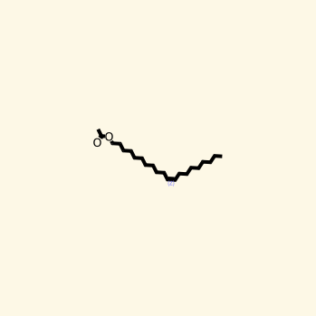 CCCCCCCC/C=C\CCCCCCCCCCOC(C)=O